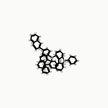 C1=CCC(c2ccccc2-c2ccccc2)(N(c2ccc(-c3ccc4ccccc4c3)cc2)c2cccc3c2c2ccccc2n3-c2ccccc2)C(c2ccccc2)=C1